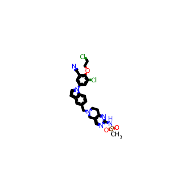 CS(=O)(=O)Nc1ncc2c(n1)CCN(Cc1ccc3c(ccn3-c3cc(Cl)c(OCCCl)c(C#N)c3)c1)C2